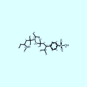 CCC(CC(C)(C)N(OC(C)(C)CC(c1ccc(S(=O)(=O)O)cc1)C(C)C)C(C)C)NC